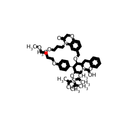 COCCCCOc1ccc([C@H]2[C@H](O[Si](C(C)C)(C(C)C)C(C)C)CN(C(=O)O)C(Cc3ccccc3)[C@@H]2OCc2ccc3c(c2)N(CCCOC)C(=O)CO3)cc1